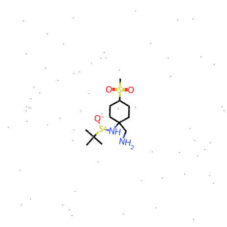 CC(C)(C)[S@+]([O-])NC1(CN)CCC(S(C)(=O)=O)CC1